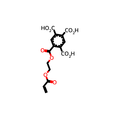 C=CC(=O)OCCOC(=O)c1cc(C(=O)O)c(C(=O)O)cc1C(=O)O